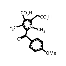 COc1ccc(C(=O)c2c(C(F)(F)F)c(C(=O)O)c(CC(=O)O)n2C)cc1